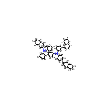 c1cc(-c2cccc3ccccc23)cc(N(c2ccc(-c3ccc4ccccc4c3)cc2)c2ccc(-c3ccccc3-n3c4ccccc4c4cc5ccccc5cc43)cc2)c1